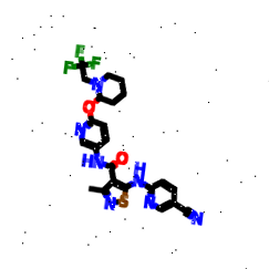 Cc1nsc(Nc2ccc(C#N)cn2)c1C(=O)Nc1ccc(OC2CCCCN2CC(F)(F)F)nc1